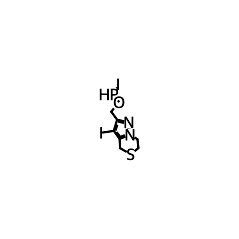 IPOCc1nn2c(c1I)CSCC2